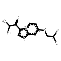 CC(C)C(=O)c1cnc2cc(OCC(F)F)ccn12